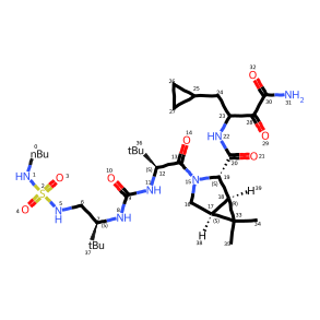 CCCCNS(=O)(=O)NC[C@@H](NC(=O)N[C@H](C(=O)N1C[C@H]2[C@@H]([C@H]1C(=O)NC(CC1CC1)C(=O)C(N)=O)C2(C)C)C(C)(C)C)C(C)(C)C